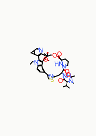 CCn1c(C2=C([C@H](C)OC)N=CC3CC23)c2c3cc(ccc31)C1CSC(=N1)C[C@H](NC(=O)[C@H](C(C)C)N(C)C(C)=O)C(=O)N1CCCC(C=O)(COCC(C)(C)C2)N1